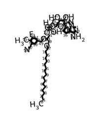 CCCCCCCCCCCCCCCCCCOC[C@H](COP(=O)(O)OCC1(C)O[C@@](C#N)(c2ccc3c(N)ncnn23)[C@H](O)[C@@H]1O)OCc1cc(F)c(C)c(C#N)c1